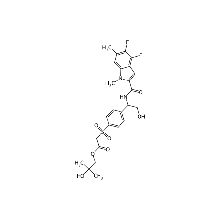 Cc1cc2c(cc(C(=O)NC(CO)c3ccc(S(=O)(=O)CC(=O)OCC(C)(C)O)cc3)n2C)c(F)c1F